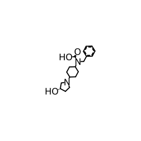 O=C(O)N(Cc1ccccc1)C1CCC(N2CC[C@H](O)C2)CC1